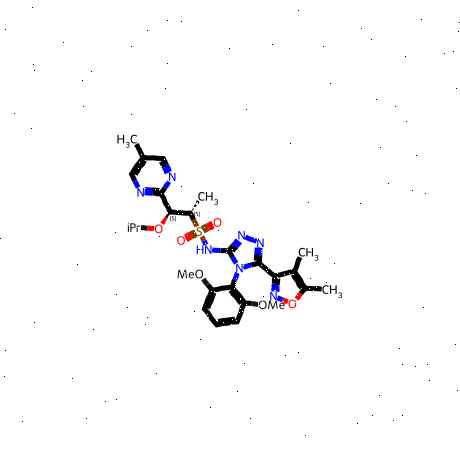 COc1cccc(OC)c1-n1c(NS(=O)(=O)[C@@H](C)[C@@H](OC(C)C)c2ncc(C)cn2)nnc1-c1noc(C)c1C